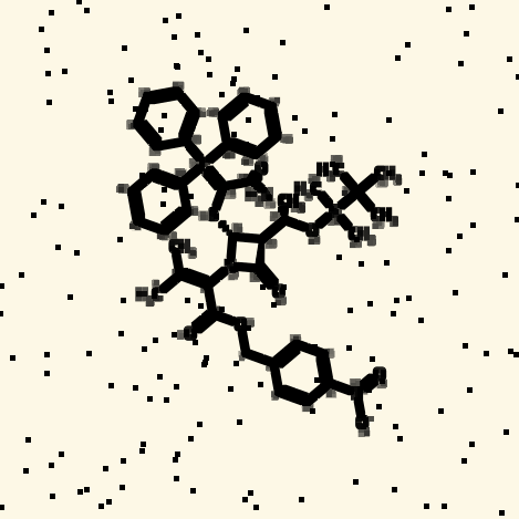 CC(C)=C(C(=O)OCc1ccc([N+](=O)[O-])cc1)N1C(=O)[C@H]([C@@H](C)O[Si](C)(C)C(C)(C)C)[C@H]1SC(C(N)=O)=P(c1ccccc1)(c1ccccc1)c1ccccc1